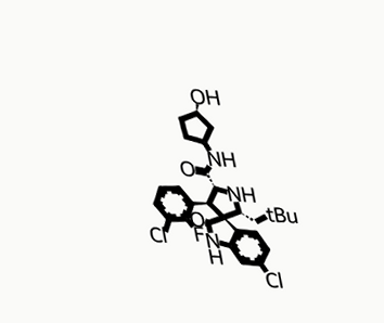 CC(C)(C)C[C@H]1N[C@@H](C(=O)NC2CC[C@H](O)C2)[C@H](c2cccc(Cl)c2F)[C@@]12C(=O)Nc1cc(Cl)ccc12